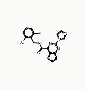 O=C(NCc1c(F)cccc1C(F)(F)F)c1nc(-n2ccnc2)nc2ccsc12